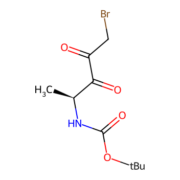 C[C@H](NC(=O)OC(C)(C)C)C(=O)C(=O)CBr